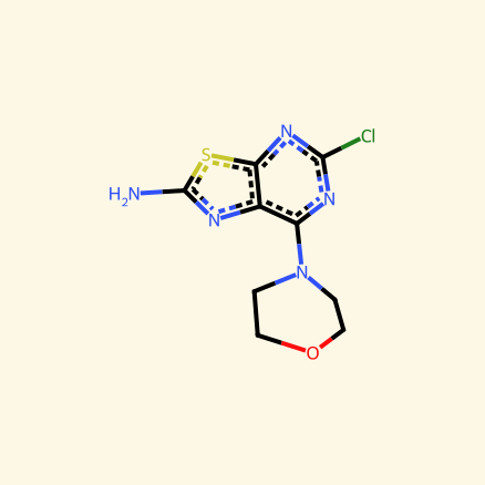 Nc1nc2c(N3CCOCC3)nc(Cl)nc2s1